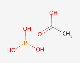 CC(=O)O.OP(O)O